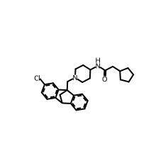 O=C(CC1CCCC1)NC1CCN(CC23CC(c4ccccc42)c2ccc(Cl)cc23)CC1